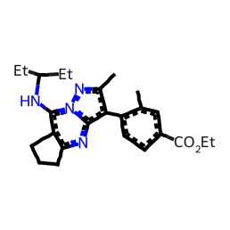 CCOC(=O)c1ccc(-c2c(C)nn3c(NC(CC)CC)c4c(nc23)CCC4)c(C)c1